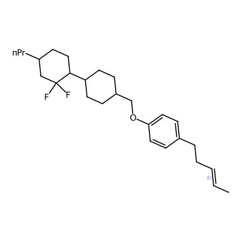 C/C=C/CCc1ccc(OCC2CCC(C3CCC(CCC)CC3(F)F)CC2)cc1